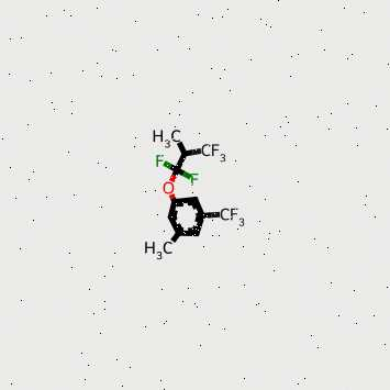 Cc1cc(OC(F)(F)C(C)C(F)(F)F)cc(C(F)(F)F)c1